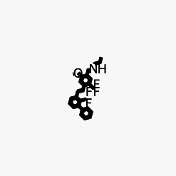 CCCNCc1cc(C(F)(F)F)c(/C=C/c2cccc(-c3ccccc3)c2CF)cc1OC